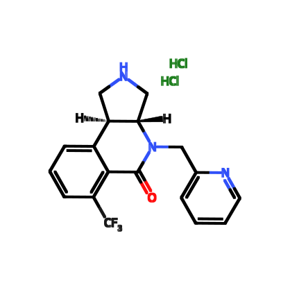 Cl.Cl.O=C1c2c(cccc2C(F)(F)F)[C@H]2CNC[C@@H]2N1Cc1ccccn1